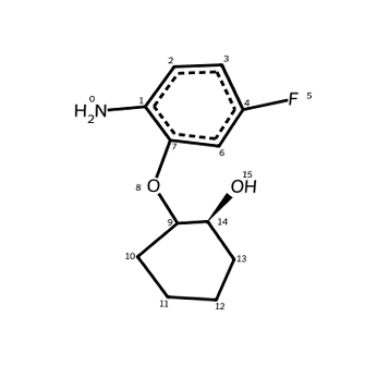 Nc1ccc(F)cc1OC1CCCC[C@@H]1O